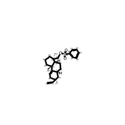 C=C[C@@]1(C)CC=C2[C@@H](CC[C@@H]3[C@](C)(COS(=O)(=O)c4ccccc4)CCC[C@@]23C)C1